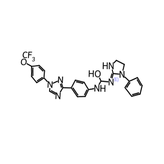 OC(/N=C1\NCCN1c1ccccc1)Nc1ccc(-c2ncn(-c3ccc(OC(F)(F)F)cc3)n2)cc1